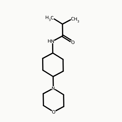 CC(C)C(=O)NC1CCC(N2CCOCC2)CC1